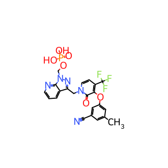 Cc1cc(C#N)cc(Oc2c(C(F)(F)F)ccn(Cc3nn(COP(=O)(O)O)c4ncccc34)c2=O)c1